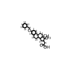 C[C@]12CCC3c4ccc(OCc5ccccc5)cc4CCC3C1CC(CC(=O)O)C2=O